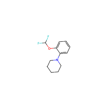 FC(F)Oc1ccccc1N1C[CH]CCC1